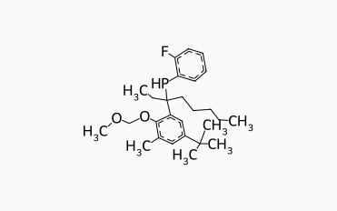 CCCCCC(CC)(Pc1ccccc1F)c1cc(C(C)(C)C)cc(C)c1OCOC